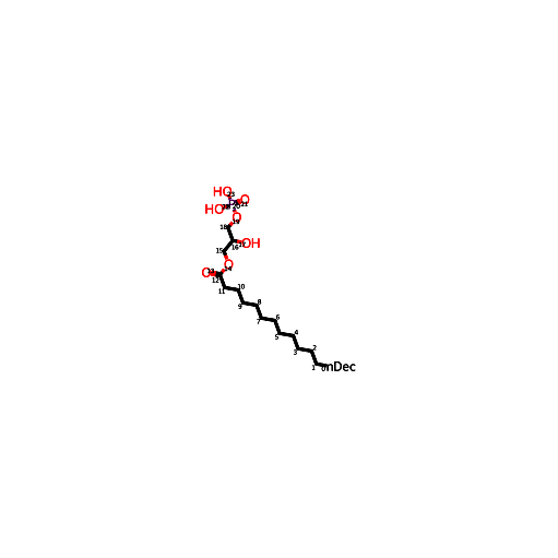 CCCCCCCCCCCCCCCCCCCCCC(=O)OCC(O)COP(=O)(O)O